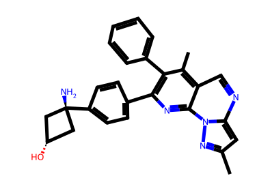 Cc1cc2ncc3c(C)c(-c4ccccc4)c(-c4ccc([C@]5(N)C[C@H](O)C5)cc4)nc3n2n1